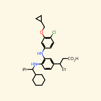 CCC(CC(=O)O)c1ccc(NC(C(C)C)C2CCCCC2)c(Nc2ccc(Cl)c(OCC3CC3)c2)c1